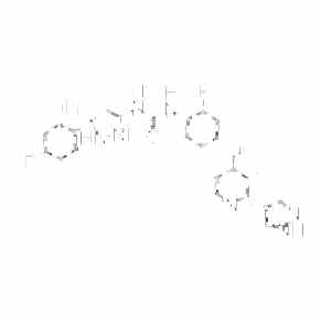 CC(C)C1(c2ccc(F)cc2)C=C(NC(=O)Nc2ccc(Oc3ccnc(-c4cn[nH]c4)c3)cc2F)NN1